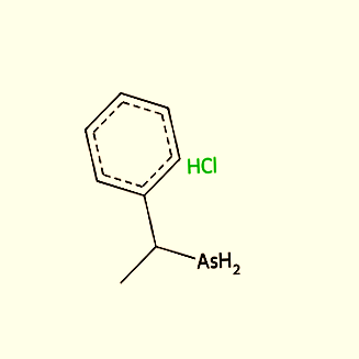 CC([AsH2])c1ccccc1.Cl